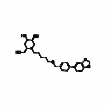 OC[C@H]1CC(O)[C@@H](O)CN1CCCCCOCc1ccc(-c2ccc3c(c2)OCO3)cc1